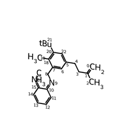 C=C(C)CCc1cc(C/N=C2/C=CC=C/C2=N/C)c(C)c(C(C)(C)C)c1